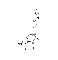 CC(C)(C)N(C(=O)O)c1ccn(CCCCN=[N+]=[N-])c(=O)c1